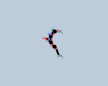 CCCCCCCOc1ccc(C(=O)Oc2ccc(CN(CC(=O)O)C(=O)c3ccc(NC(=O)Cc4ccc(OC)cc4C(F)(F)F)cc3)cc2)cc1